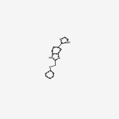 c1ccc(OCc2nc3cc(-c4ncc[nH]4)ccc3[nH]2)cc1